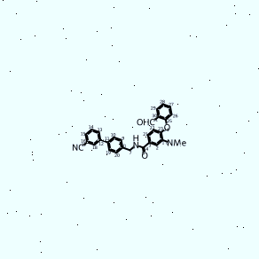 CNc1cc(C(=O)NCc2ccc(-c3cccc(C#N)c3)cc2)ccc1Oc1ccccc1C=O